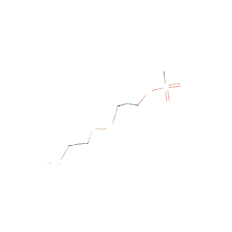 CNCCSSCCOS(C)(=O)=O